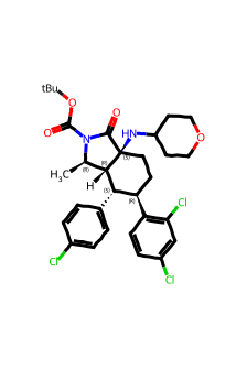 C[C@@H]1[C@H]2[C@@H](c3ccc(Cl)cc3)[C@H](c3ccc(Cl)cc3Cl)CC[C@@]2(NC2CCOCC2)C(=O)N1C(=O)OC(C)(C)C